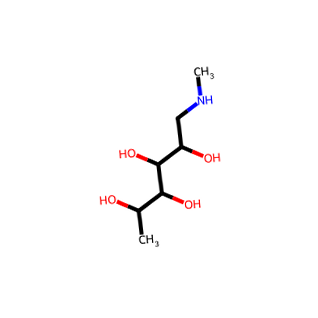 CNCC(O)C(O)C(O)C(C)O